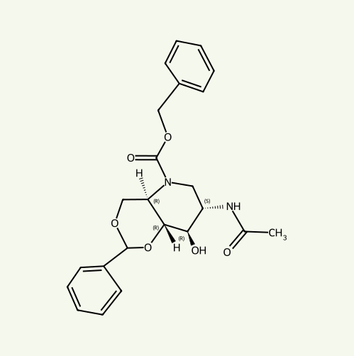 CC(=O)N[C@H]1CN(C(=O)OCc2ccccc2)[C@@H]2COC(c3ccccc3)O[C@H]2[C@@H]1O